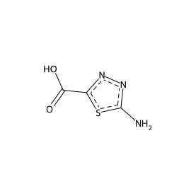 Nc1nnc(C(=O)O)s1